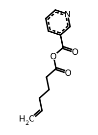 C=CCCCC(=O)OC(=O)c1cccnc1